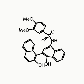 COc1ccc(S(=O)(=O)Nc2cc(-c3c(O)ccc4ccccc34)c(O)c3ccccc23)cc1OC